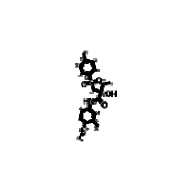 [C-]#[N+]c1ccc(NC(=O)[C@](O)(CC)CS(=O)(=O)c2ccc(C)cc2)cc1C